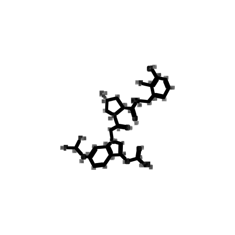 NC(=O)Oc1cn(CC(=O)N2C[C@H](F)C[C@H]2C(=O)NCc2cccc(Cl)c2F)c2cc(OC(F)F)ccc12